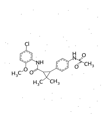 COc1ccc(Cl)cc1NC(=O)C1C(c2ccc(NS(C)(=O)=O)cc2)C1(C)C